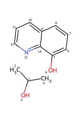 CC(C)O.Oc1cccc2cccnc12